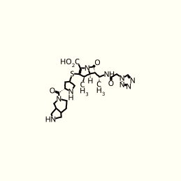 C[C@@H](NC(=O)Cn1cnnn1)[C@H]1C(=O)N2C(C(=O)O)=C(SC3CN[C@H](C(=O)N4CCC5CNCC5C4)C3)[C@H](C)[C@H]12